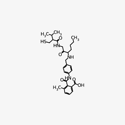 CCCCC(NCc1ccc(NC(=O)c2c(C)cccc2C(=O)O)cc1)C(=O)CNC(=O)C(CS)C(C)C